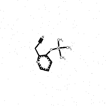 C[Si](C)(C)Oc1cccnc1CC#N